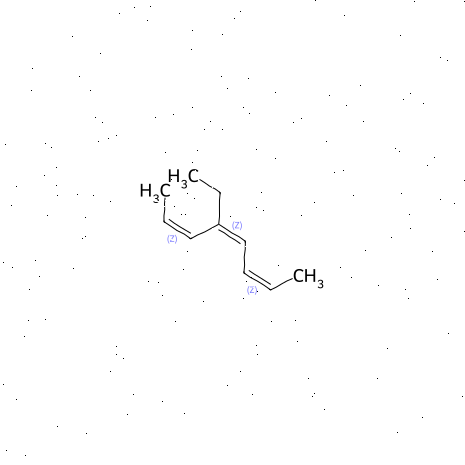 C\C=C/C=C(\C=C/C)CC